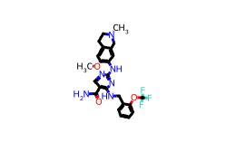 COc1cc2c(cc1Nc1ncc(C(N)=O)c(NCc3ccccc3OC(F)(F)F)n1)CN(C)CC2